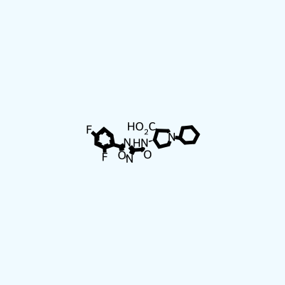 O=C(N[C@H]1CCN(C2CCCCC2)C[C@@H]1C(=O)O)c1noc(-c2ccc(F)cc2F)n1